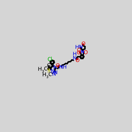 Cc1sc2c(c1C)C(c1ccc(Cl)cc1)=N[C@@H](CC(=O)NCCCCCCCCNC(=O)Cc1cccc3c1C(=O)N(C1CCC(=O)NC1=O)C3=O)c1nnc(C)n1-2